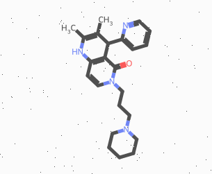 CC1=C(C)C(c2ccccn2)c2c(ccn(CCCN3CCCCC3)c2=O)N1